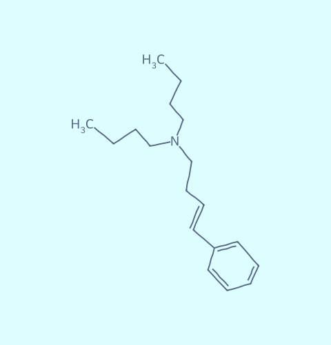 CCCCN(CCC=Cc1ccccc1)CCCC